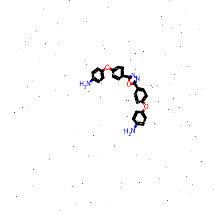 Nc1ccc(Oc2ccc(-c3nnc(-c4ccc(Oc5ccc(N)cc5)cc4)o3)cc2)cc1